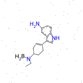 BN(CC)C1CC=C(c2c[nH]c3ccc(N)cc23)CC1